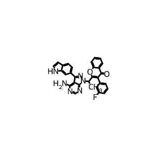 CC(c1oc2ccccc2c(=O)c1-c1cccc(F)c1)n1nc(-c2ccc3cc[nH]c3c2)c2c(N)ncnc21